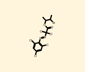 CC(Br)C(C)OC(=O)C(Cl)(Cl)N=Nc1c(Cl)cc(Cl)cc1Cl